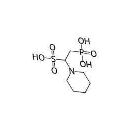 O=P(O)(O)CC(N1CCCCC1)S(=O)(=O)O